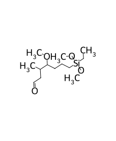 CC[Si](CCCC(OC)C(C)CC=O)(OC)OC